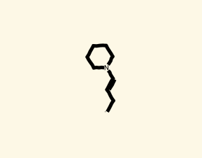 [CH2]CC=CN1CCCCC1